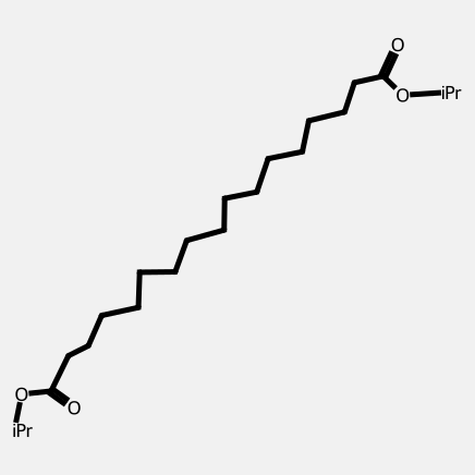 CC(C)OC(=O)CCCCCCCCCCCCCCCC(=O)OC(C)C